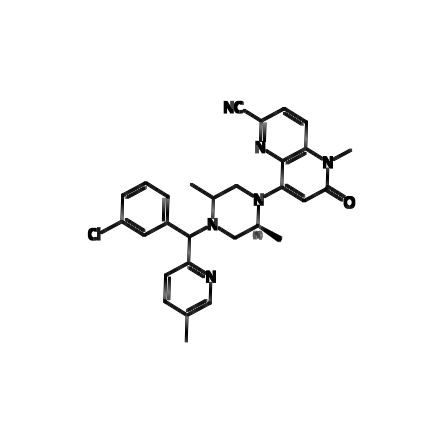 Cc1ccc(C(c2cccc(Cl)c2)N2C[C@H](C)N(c3cc(=O)n(C)c4ccc(C#N)nc34)CC2C)nc1